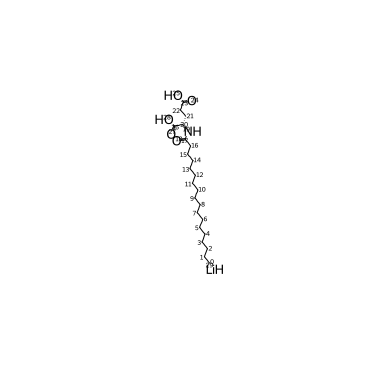 CCCCCCCCCCCCCCCCCC(=O)N[C@@H](CCC(=O)O)C(=O)O.[LiH]